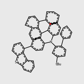 CC(C)(C)c1ccc(-c2ccccc2)c(N(c2ccc(-c3cccc4sc5ccccc5c34)cc2)c2ccccc2-c2cccc3cccc(-c4ccccc4)c23)c1